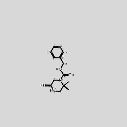 CC1(C)CNC(=O)CN1C(=O)OCc1ccccc1